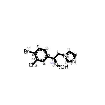 O/N=C(\Cn1ccnc1)c1ccc(Br)c(Cl)c1